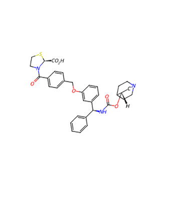 O=C(N[C@@H](c1ccccc1)c1cccc(OCc2ccc(C(=O)N3CCS[C@H]3C(=O)O)cc2)c1)O[C@H]1CN2CCC1CC2